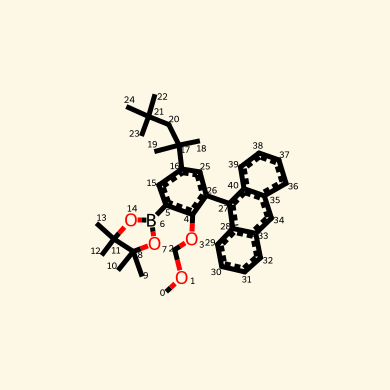 COCOc1c(B2OC(C)(C)C(C)(C)O2)cc(C(C)(C)CC(C)(C)C)cc1-c1c2ccccc2cc2ccccc12